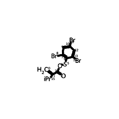 C=C(C(=O)OSc1c(Br)cc(Br)cc1Br)C(C)C